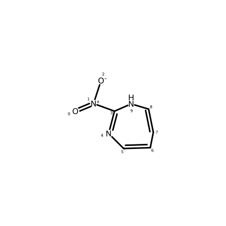 O=[N+]([O-])C1=NC=CC=CN1